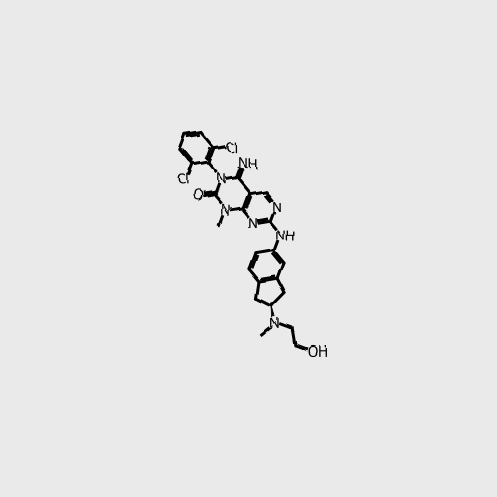 CN(CCO)[C@H]1Cc2ccc(Nc3ncc4c(=N)n(-c5c(Cl)cccc5Cl)c(=O)n(C)c4n3)cc2C1